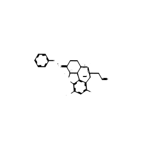 C=CCN1CC[C@]23c4c5c(O)cc(O)c4O[C@H]2C(=NOc2ccccc2)CC[C@H]3[C@H]1C5